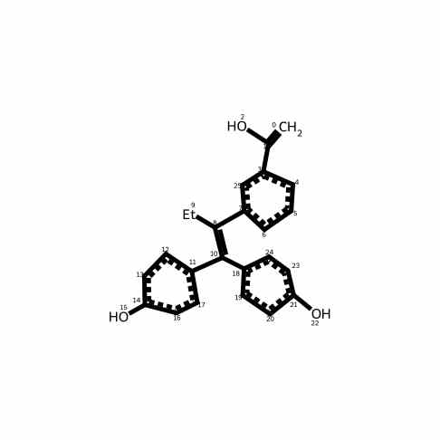 C=C(O)c1cccc(C(CC)=C(c2ccc(O)cc2)c2ccc(O)cc2)c1